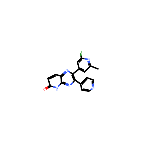 Cc1cc(-c2nc3ccc(=O)[nH]c3nc2-c2ccncc2)cc(Cl)n1